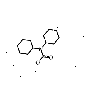 [O]C(=O)N(C1CCCCC1)C1CCCCC1